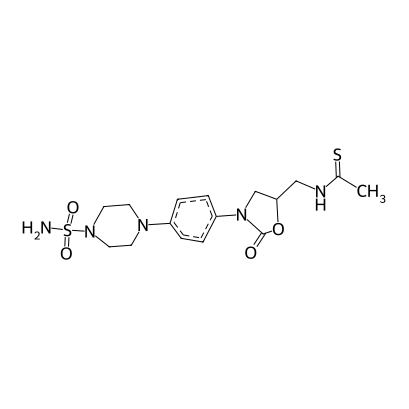 CC(=S)NCC1CN(c2ccc(N3CCN(S(N)(=O)=O)CC3)cc2)C(=O)O1